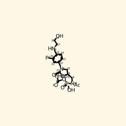 CCCCCCCC(=O)OP(=O)(O)N(CC1CN(c2ccc(NCCO)c(F)c2)C(=O)O1)C(C)=O